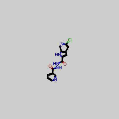 O=C(NNC(=O)c1cc2cc(Cl)ncc2[nH]1)c1cccnc1